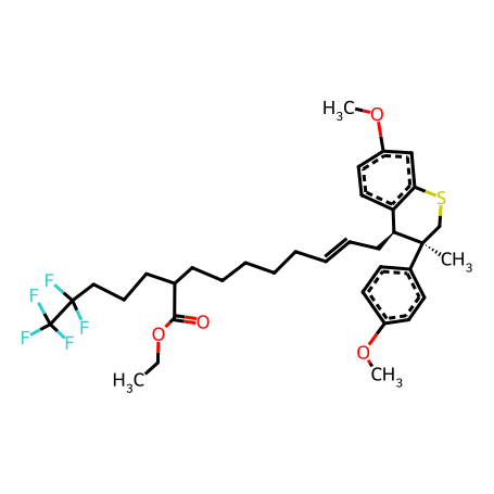 CCOC(=O)C(CCCCCC=CC[C@H]1c2ccc(OC)cc2SC[C@@]1(C)c1ccc(OC)cc1)CCCC(F)(F)C(F)(F)F